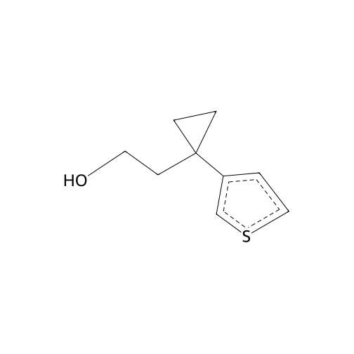 OCCC1(c2ccsc2)CC1